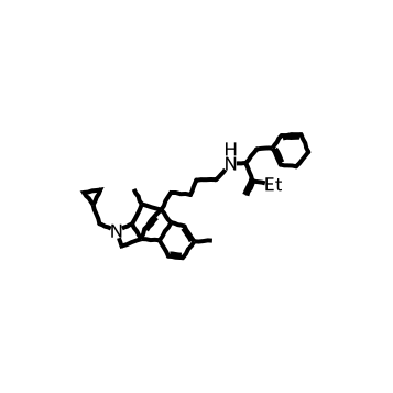 C=C(CC)C(CC1=CCCC=C1)NCCCCC12C=CC3(CN(CC4CC4)C3C1C)C1C=CC(C)=CC12